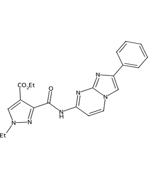 CCOC(=O)c1cn(CC)nc1C(=O)Nc1ccn2cc(-c3ccccc3)nc2n1